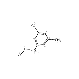 CCO[SiH2]c1cc(C)cc(C)c1